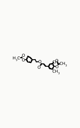 CC(=O)Oc1ccc(CCOC(=O)/C=C/c2cc(C)c(OC(C)=O)c(C)c2)cc1